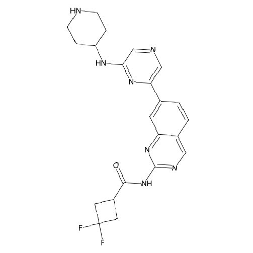 O=C(Nc1ncc2ccc(-c3cncc(NC4CCNCC4)n3)cc2n1)C1CC(F)(F)C1